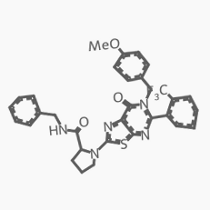 COc1ccc(Cn2c(-c3ccccc3C(F)(F)F)nc3sc(N4CCCC4C(=O)NCc4ccccc4)nc3c2=O)cc1